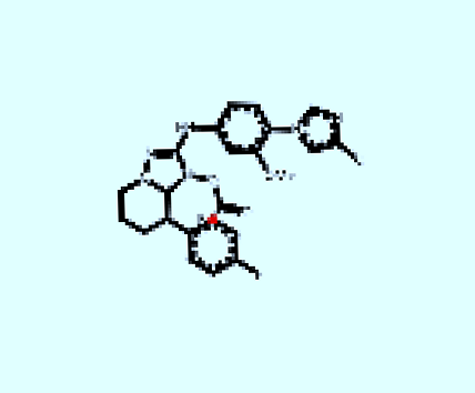 COc1cc(NC2=NN3CCCC(c4ccc(F)cc4)C3N2OC(=O)C(F)(F)F)ccc1-n1cnc(Cl)c1